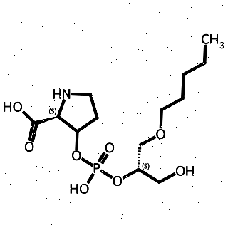 CCCCCOC[C@H](CO)OP(=O)(O)OC1CCN[C@@H]1C(=O)O